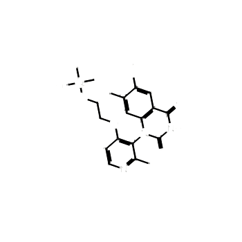 CC(C)c1nccc(OCCO[Si](C)(C)C(C)(C)C)c1-n1c(=O)[nH]c(=O)c2cc(F)c(Cl)cc21